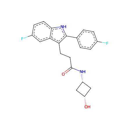 O=C(CCc1c(-c2ccc(F)cc2)[nH]c2ccc(F)cc12)N[C@H]1C[C@@H](O)C1